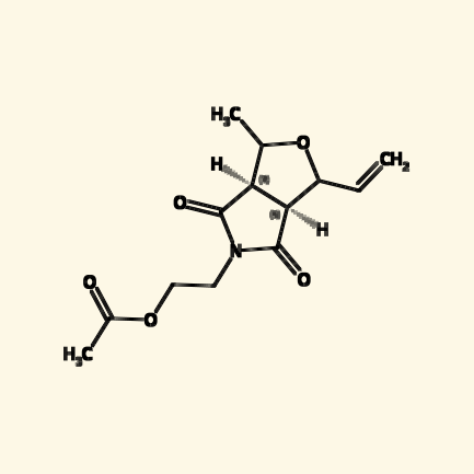 C=CC1OC(C)[C@@H]2C(=O)N(CCOC(C)=O)C(=O)[C@H]12